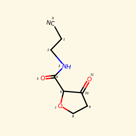 N#CCCNC(=O)C1OCCC1=O